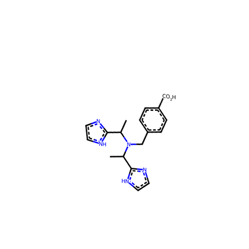 CC(c1ncc[nH]1)N(Cc1ccc(C(=O)O)cc1)C(C)c1ncc[nH]1